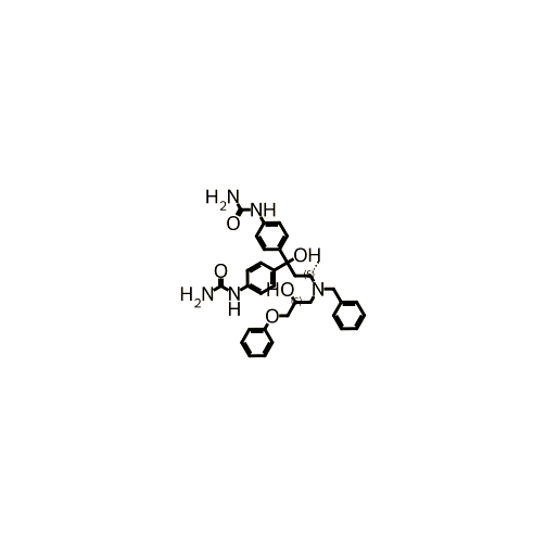 C[C@@H](CC(O)(c1ccc(NC(N)=O)cc1)c1ccc(NC(N)=O)cc1)N(Cc1ccccc1)C[C@H](O)COc1ccccc1